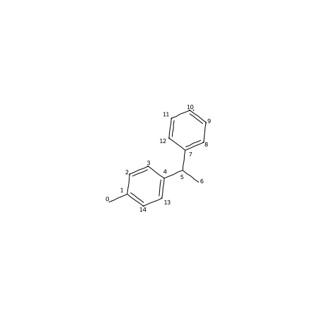 Cc1ccc(C(C)c2cc[c]cc2)cc1